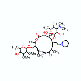 CCC1OC(=O)CC(O)C(C)C(OC2OC(C)C(C)C(N(C)C)C2O)C(CCN2CCCCC2)CC(C)C(=O)/C=C/C(C)=C/C1COC1OC(C)C(O)C(OC)C1OC